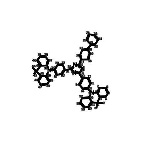 CC1(C)c2ccccc2N(c2ccc(-c3nc(-c4ccc(-c5ccccc5)cc4)nc(-c4ccc(N5c6ccccc6C(C)(C)c6ccccc65)cc4)n3)cc2)c2ccccc21